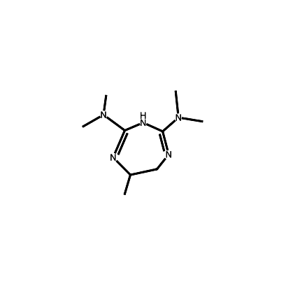 CC1CN=C(N(C)C)NC(N(C)C)=N1